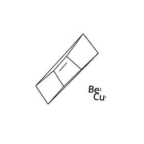 C12=C3C4C1C1C2C3C41.[Be].[Cu]